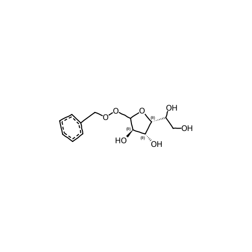 OCC(O)[C@H]1OC(OOCc2ccccc2)[C@H](O)[C@H]1O